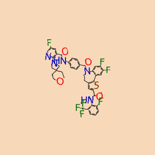 O=C(Nc1c(F)cccc1C(F)(F)F)c1cc2c(s1)-c1cc(F)c(F)cc1N(C(=O)c1ccc(NC(=O)c3cc(F)cnc3N3CC4(CCOCC4)C3)cc1)CC2